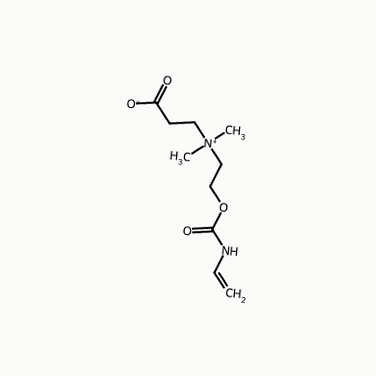 C=CNC(=O)OCC[N+](C)(C)CCC(=O)[O-]